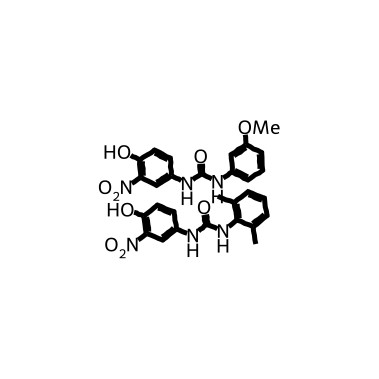 COc1cccc(NC(=O)Nc2ccc(O)c([N+](=O)[O-])c2)c1.Cc1cccc(C)c1NC(=O)Nc1ccc(O)c([N+](=O)[O-])c1